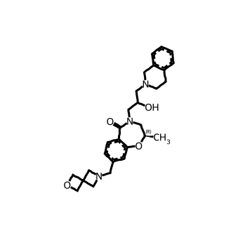 C[C@@H]1CN(CC(O)CN2CCc3ccccc3C2)C(=O)c2ccc(CN3CC4(COC4)C3)cc2O1